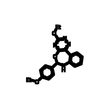 CCOc1ccc(C2Nc3ccccc3-c3nnc(OCC)nc3O2)cc1